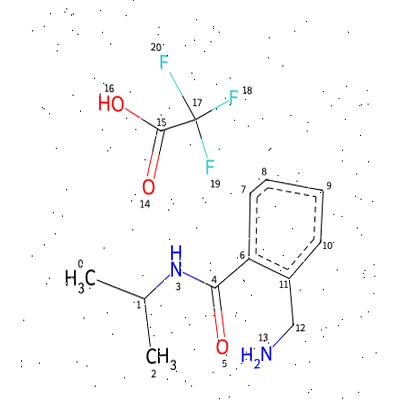 CC(C)NC(=O)c1ccccc1CN.O=C(O)C(F)(F)F